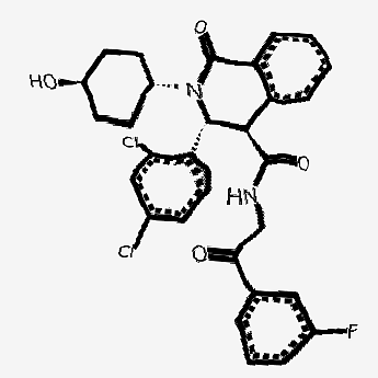 O=C(CNC(=O)[C@@H]1c2ccccc2C(=O)N([C@H]2CC[C@H](O)CC2)[C@H]1c1ccc(Cl)cc1Cl)c1cccc(F)c1